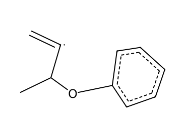 C=[C]C(C)Oc1ccccc1